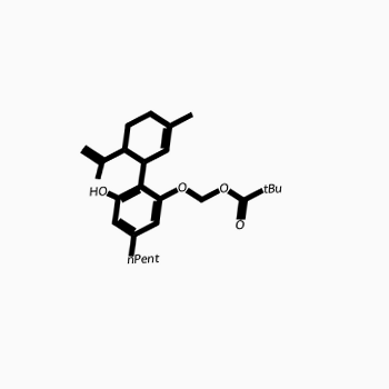 C=C(C)C1CCC(C)=CC1c1c(O)cc(CCCCC)cc1OCOC(=O)C(C)(C)C